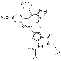 COc1ccc(CN(c2nncn2[C@@H]2CCc3sc(NC(=O)C4CC4)c(C(=O)NCC4CC4)c3C2)C2CCOC2)c(OC)c1